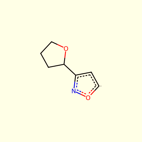 [c]1cc(C2CCCO2)no1